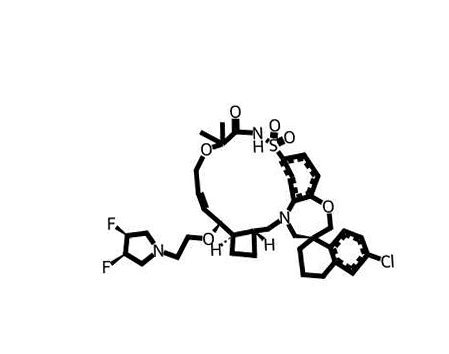 CC1(C)OCC=C[C@H](OCCN2C[C@@H](F)[C@@H](F)C2)[C@@H]2CC[C@H]2CN2C[C@@]3(CCCc4cc(Cl)ccc43)COc3ccc(cc32)S(=O)(=O)NC1=O